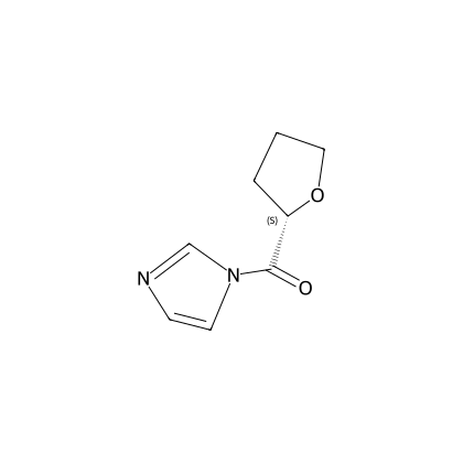 O=C([C@@H]1CCCO1)n1ccnc1